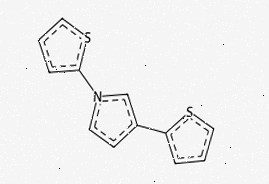 c1csc(-c2ccn(-c3cccs3)c2)c1